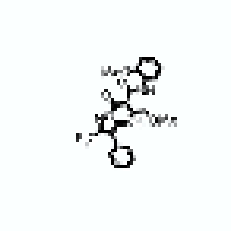 COCc1[nH]c2c(-c3ccccc3)c(C(F)(F)F)nn2c(=O)c1C(=O)Nc1ccccc1OC